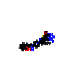 CCCc1cc(N2CCC(NCCCc3ccccc3O)CC2)nc2sc(C(N)=O)c(N)c12